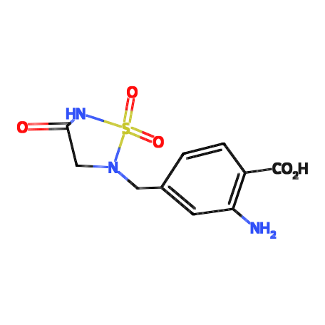 Nc1cc(CN2CC(=O)NS2(=O)=O)ccc1C(=O)O